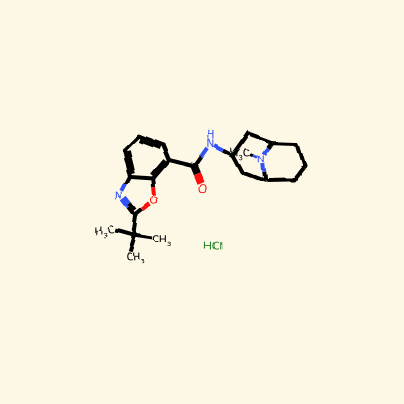 CN1C2CCCC1CC(NC(=O)c1cccc3nc(C(C)(C)C)oc13)C2.Cl